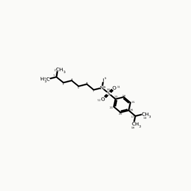 CC(C)CCCCCN(I)S(=O)(=O)c1ccc(C(C)C)cc1